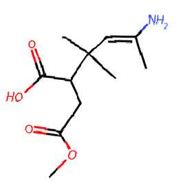 COC(=O)CC(C(=O)O)C(C)(C)/C=C(\C)N